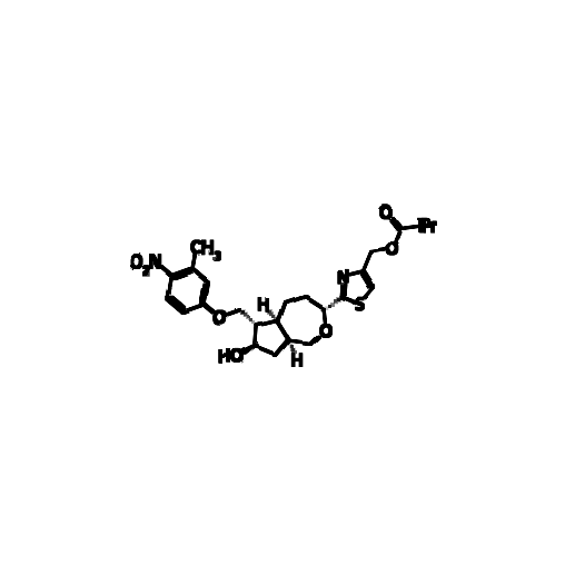 Cc1cc(OC[C@@H]2[C@H]3CC[C@H](c4nc(COC(=O)C(C)C)cs4)OC[C@H]3C[C@H]2O)ccc1[N+](=O)[O-]